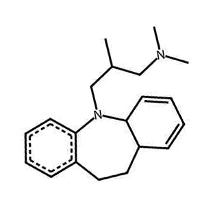 CC(CN(C)C)CN1c2ccccc2CCC2C=CC=CC21